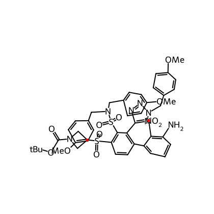 COc1ccc(CN(Cc2ccc(OC)cc2)S(=O)(=O)c2c(S(=O)(=O)C3CN(C(=O)OC(C)(C)C)C3)ccc(-c3cccc(N)c3[N+](=O)[O-])c2-c2nnn(Cc3ccc(OC)cc3)n2)cc1